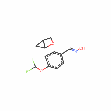 C1OC2CC12.ON=Cc1ccc(OC(F)F)cc1